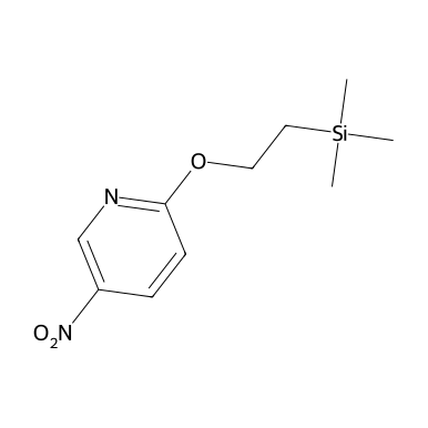 C[Si](C)(C)CCOc1ccc([N+](=O)[O-])cn1